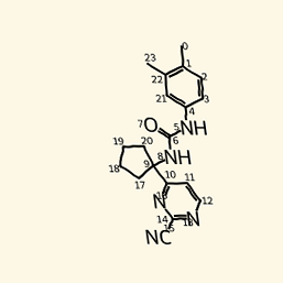 Cc1ccc(NC(=O)NC2(c3ccnc(C#N)n3)CCCC2)cc1C